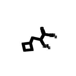 NC(=O)C(N)CC1CCC1